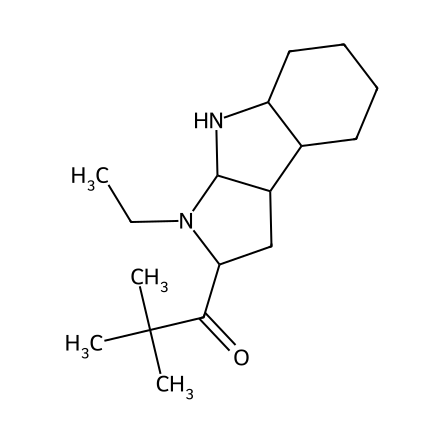 CCN1C(C(=O)C(C)(C)C)CC2C3CCCCC3NC21